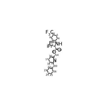 CC(C)C(Nc1ccc(C(F)(F)F)cc1F)C(=O)OCc1cccc(Cc2ccccc2)n1